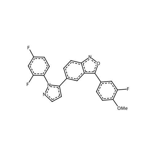 COc1ccc(-c2onc3ccc(-c4ccnn4-c4ccc(F)cc4F)cc23)cc1F